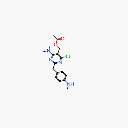 CNc1ccc(Cc2nc(Cl)c(COC(C)=O)c(N(C)C)n2)cc1